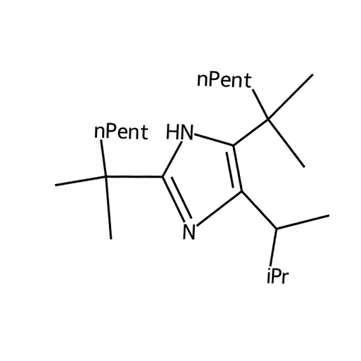 CCCCCC(C)(C)c1nc(C(C)C(C)C)c(C(C)(C)CCCCC)[nH]1